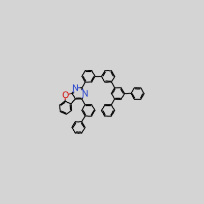 c1ccc(-c2cc(-c3ccccc3)cc(-c3cccc(-c4cccc(-c5nc(-c6cccc(-c7ccccc7)c6)c6c(n5)oc5ccccc56)c4)c3)c2)cc1